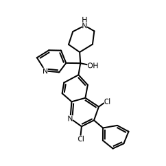 OC(c1cccnc1)(c1ccc2nc(Cl)c(-c3ccccc3)c(Cl)c2c1)C1CCNCC1